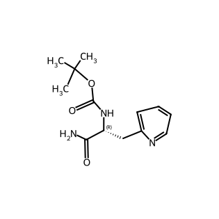 CC(C)(C)OC(=O)N[C@H](Cc1ccccn1)C(N)=O